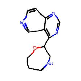 c1cc2ncnc(C3CNCCCO3)c2cn1